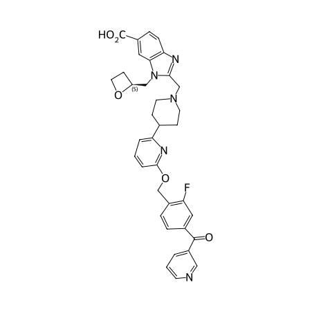 O=C(O)c1ccc2nc(CN3CCC(c4cccc(OCc5ccc(C(=O)c6cccnc6)cc5F)n4)CC3)n(C[C@@H]3CCO3)c2c1